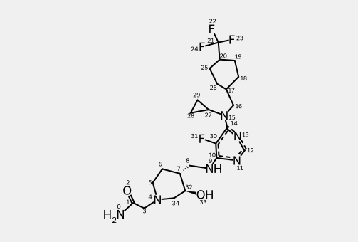 NC(=O)CN1CC[C@H](CNc2ncnc(N(CC3CCC(C(F)(F)F)CC3)C3CC3)c2F)[C@@H](O)C1